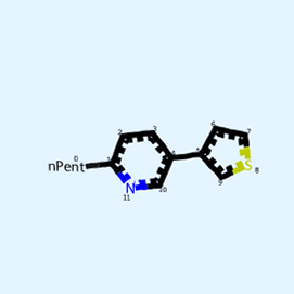 CCCCCc1ccc(-c2ccsc2)cn1